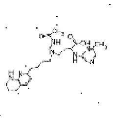 CC(=O)NCN(CCCCc1ccc2c(n1)NCCC2)CCC(Nc1cncc(C)n1)C(=O)O